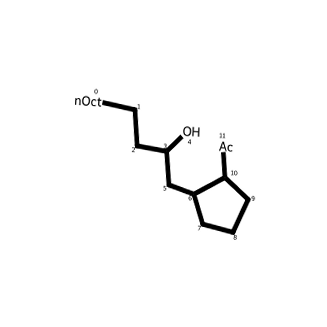 CCCCCCCCCCC(O)CC1CCCC1C(C)=O